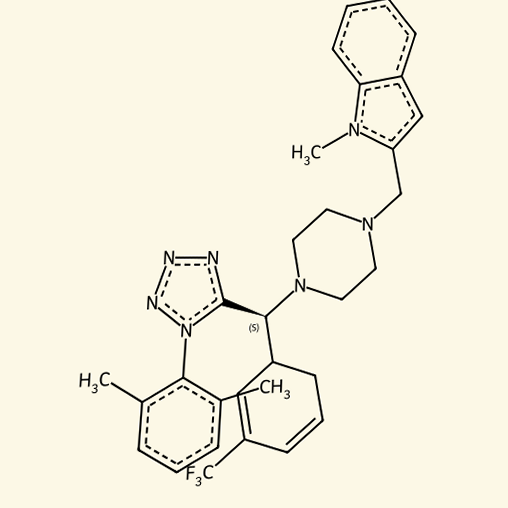 Cc1cccc(C)c1-n1nnnc1[C@H](C1C=C(C(F)(F)F)C=CC1)N1CCN(Cc2cc3ccccc3n2C)CC1